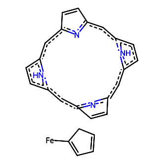 C1=Cc2cc3ccc(cc4nc(cc5ccc(cc1n2)[nH]5)C=C4)[nH]3.[Fe][C]1=CC=CC1